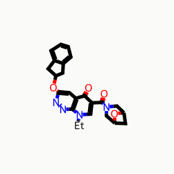 CCn1cc(C(=O)N2CC3CC(C2)O3)c(=O)c2cc(OC3Cc4ccccc4C3)nnc21